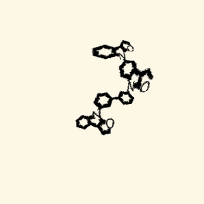 c1cc(-c2cccc(-n3c4ccc(-n5c6ccccc6c6ccoc65)cc4c4ccoc43)c2)cc(-n2c3ccccc3c3ccoc32)c1